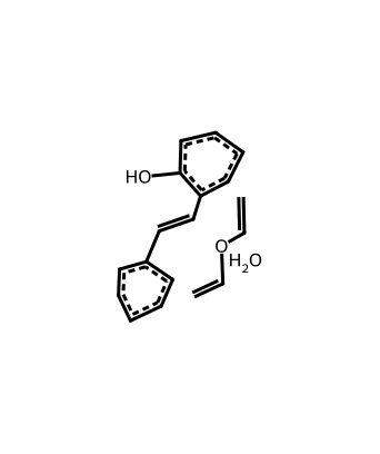 C=COC=C.O.Oc1ccccc1C=Cc1ccccc1